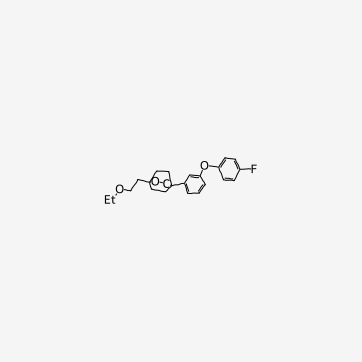 CCOCCC12CCC(c3cccc(Oc4ccc(F)cc4)c3)(CC1)CO2